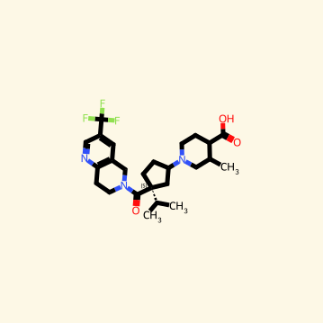 CC1CN(C2CC[C@@](C(=O)N3CCc4ncc(C(F)(F)F)cc4C3)(C(C)C)C2)CCC1C(=O)O